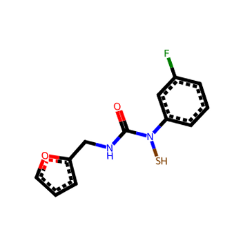 O=C(NCc1ccco1)N(S)c1cccc(F)c1